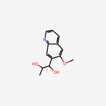 COc1cc2cccnc2cc1C(O)C(C)O